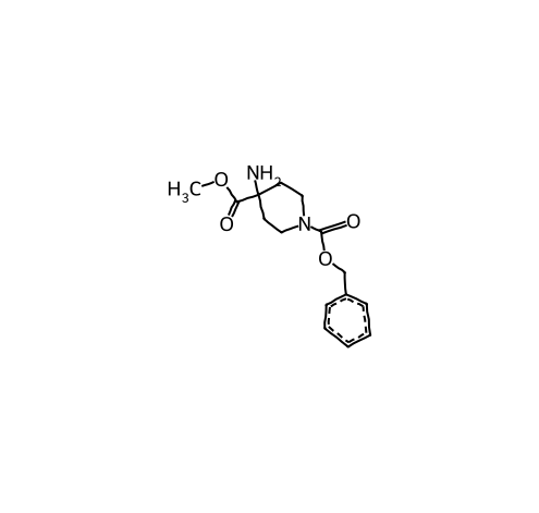 COC(=O)C1(N)CCN(C(=O)OCc2ccccc2)CC1